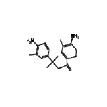 C=C(CC(C)(C)c1ccc(N)c(C)c1)c1ccc(N)c(C)c1